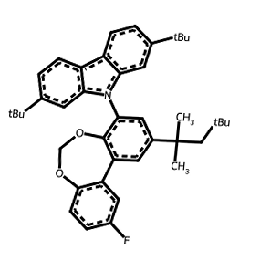 CC(C)(C)CC(C)(C)c1cc2c(c(-n3c4cc(C(C)(C)C)ccc4c4ccc(C(C)(C)C)cc43)c1)OCOc1ccc(F)cc1-2